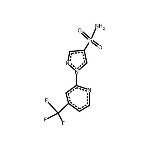 NS(=O)(=O)c1cnn(-c2cc(C(F)(F)F)ccn2)c1